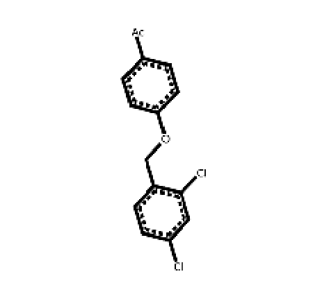 CC(=O)c1ccc(OCc2ccc(Cl)cc2Cl)cc1